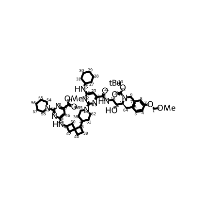 COCOc1ccc2c(c1)CN(C(=O)OC(C)(C)C)[C@H]([C@H](O)CNC(=O)c1cc(NC3CCCCC3)nc(N3CCC(C4CCC45CC(Nc4cc(C(=O)OC)nc(N6CCCCC6)n4)C5)CC3)n1)C2